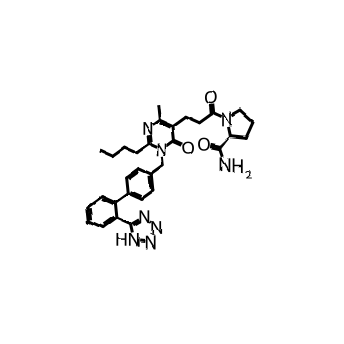 CCCCc1nc(C)c(CCC(=O)N2CCC[C@H]2C(N)=O)c(=O)n1Cc1ccc(-c2ccccc2-c2nnn[nH]2)cc1